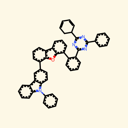 C1=CCC(c2nc(-c3ccccc3)nc(-c3ccccc3-c3cccc4c3oc3c(-c5ccc6c(c5)c5ccccc5n6-c5ccccc5)cccc34)n2)C=C1